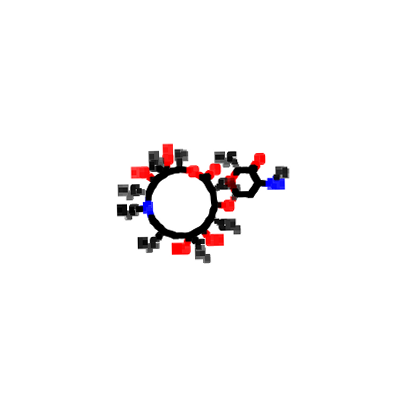 CCNC1C[C@H](O[C@H]2[C@H](C)[C@@H](O)[C@](C)(O)C[C@@H](C)CN(C)[C@H](C)[C@@H](O)[C@](C)(O)[C@@H](CC)OC(=O)[C@@H]2C)O[C@H](C)C1=O